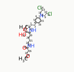 C=C(CCc1ccc(N(CCCl)CCCl)cc1)NC(CCCCNC(=O)CCOC)C(=O)O